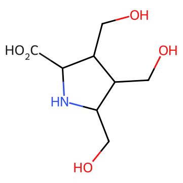 O=C(O)C1NC(CO)C(CO)C1CO